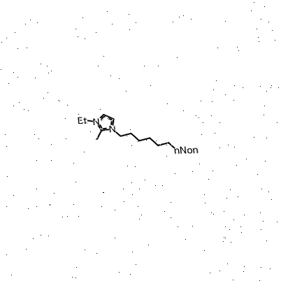 CCCCCCCCCCCCCCCn1cc[n+](CC)c1C